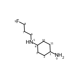 NC1CCC(NCCCF)CC1